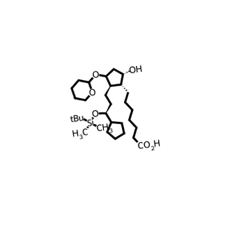 CC(C)(C)[Si](C)(C)O[C@@H](CC[C@H]1C(OC2CCCCO2)C[C@H](O)[C@@H]1CCCCCCC(=O)O)C1CCCC1